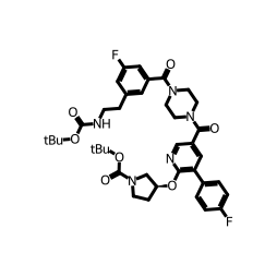 CC(C)(C)OC(=O)NCCc1cc(F)cc(C(=O)N2CCN(C(=O)c3cnc(O[C@H]4CCN(C(=O)OC(C)(C)C)C4)c(-c4ccc(F)cc4)c3)CC2)c1